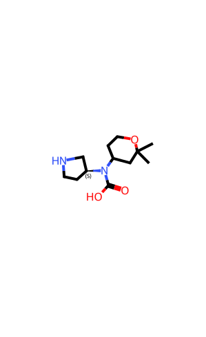 CC1(C)CC(N(C(=O)O)[C@H]2CCNC2)CCO1